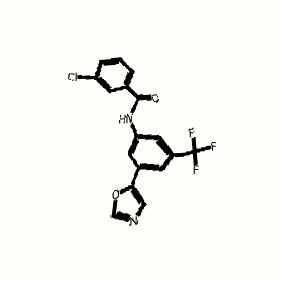 O=C(Nc1cc(-c2cnco2)cc(C(F)(F)F)c1)c1cccc(Cl)c1